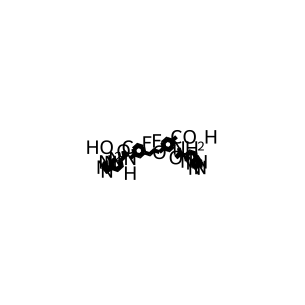 O=C(Nc1cc(CCOc2cc(NC(=O)c3ccc4nnnn4n3)c(C(=O)O)cc2F)c(F)cc1C(=O)O)c1ccc2nnnn2n1